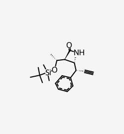 C#C[C@H](c1ccccc1)[C@H]1NC(=O)[C@@H]1[C@@H](C)O[Si](C)(C)C(C)(C)C